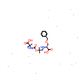 CC(C)(CN[C@@H](COCc1ccccc1)C(=O)O)OC(=O)NC(C)(C)C(=O)O